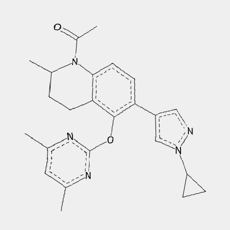 CC(=O)N1c2ccc(-c3cnn(C4CC4)c3)c(Oc3nc(C)cc(C)n3)c2CCC1C